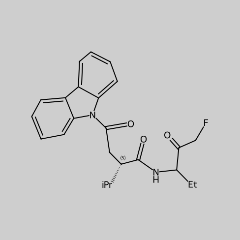 CCC(NC(=O)[C@@H](CC(=O)n1c2ccccc2c2ccccc21)C(C)C)C(=O)CF